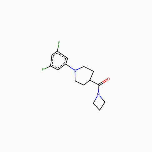 O=C(C1CCN(c2cc(F)cc(F)c2)CC1)N1CCC1